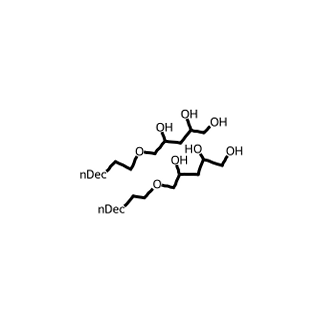 CCCCCCCCCCCCOCC(O)CC(O)CO.CCCCCCCCCCCCOCC(O)CC(O)CO